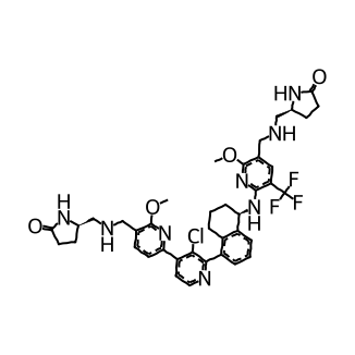 COc1nc(-c2ccnc(-c3cccc4c3CCC[C@H]4Nc3nc(OC)c(CNC[C@@H]4CCC(=O)N4)cc3C(F)(F)F)c2Cl)ccc1CNC[C@H]1CCC(=O)N1